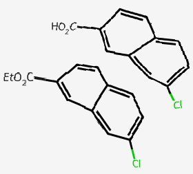 CCOC(=O)c1ccc2ccc(Cl)cc2c1.O=C(O)c1ccc2ccc(Cl)cc2c1